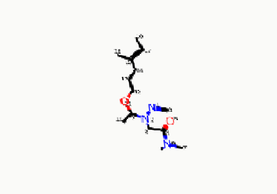 C=NN(CC(=O)N(C)C)C(C)OCCC/C(C)=C/C